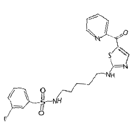 O=C(c1ccccn1)c1cnc(NCCCCCNS(=O)(=O)c2cccc(F)c2)s1